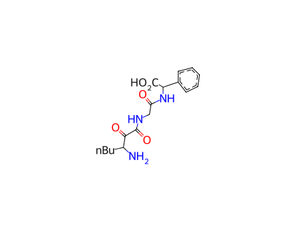 CCCCC(N)C(=O)C(=O)NCC(=O)NC(C(=O)O)c1ccccc1